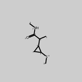 CNC(=O)C(C)C1CC1SC